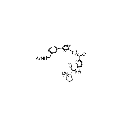 CC(=O)NCc1cccc(-c2cnc(C3CN(C(=O)c4ccc(NC(=O)[C@@H]5CCCN5)s4)C3)s2)c1